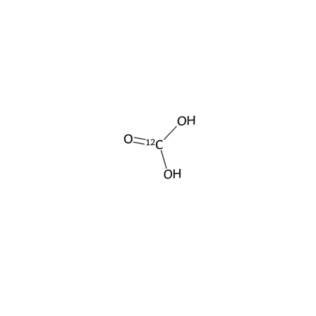 O=[12C](O)O